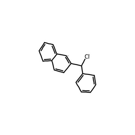 ClC(c1[c]c2ccccc2cc1)c1ccccc1